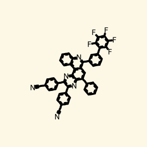 N#Cc1ccc(-c2nc3c(-c4ccccc4)cc4c(-c5cccc(-c6c(F)c(F)c(F)c(F)c6F)c5)nc5ccccc5c4c3nc2-c2ccc(C#N)cc2)cc1